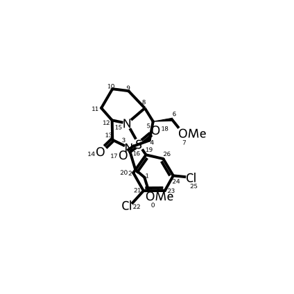 COCCN1C[C@H](COC)C2CCCC(C1=O)N2S(=O)(=O)c1cc(Cl)cc(Cl)c1